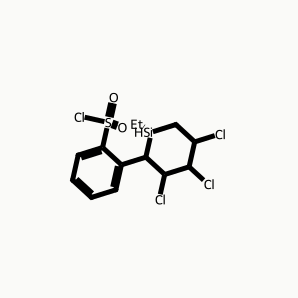 CC[SiH]1CC(Cl)C(Cl)C(Cl)C1c1ccccc1S(=O)(=O)Cl